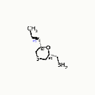 BC[C@@H]1CSC[C@H](/C=C/C)O1